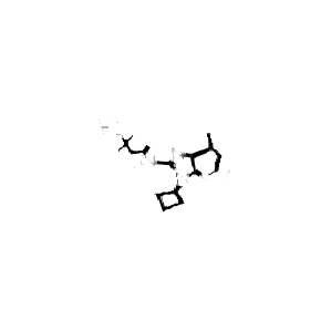 Cc1cc(Cl)nc2c1nc(NC(=O)CC(C)(C)O)n2C1CCC1